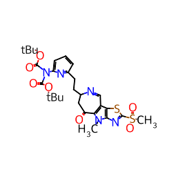 Cn1c2c(c3sc(S(C)(=O)=O)nc31)C=NC(CCc1cccc(N(C(=O)OC(C)(C)C)C(=O)OC(C)(C)C)n1)CC2=O